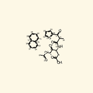 CC(=O)OCC(=O)C(CC(=O)O)NC(=O)C(C)C(=O)c1cccs1.c1ccc2ccccc2c1